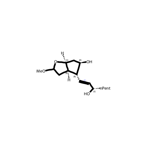 CCCCC[C@H](O)/C=C/[C@@H]1[C@H]2CC(OC)O[C@H]2C[C@H]1O